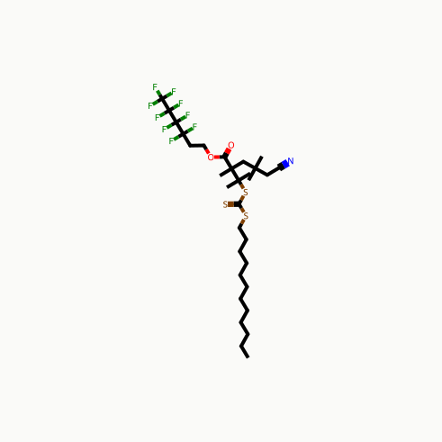 CCCCCCCCCCCCSC(=S)SC(C)(C)C(C)(CC(C)(C)CC#N)C(=O)OCCC(F)(F)C(F)(F)C(F)(F)C(F)(F)F